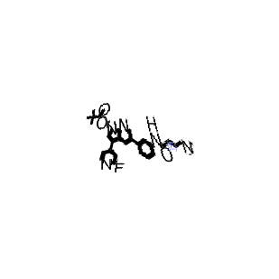 CN(C)C/C=C/C(=O)Nc1cccc(-c2cnc3c(c2)c(-c2ccnc(F)c2)cn3COC(=O)C(C)(C)C)c1